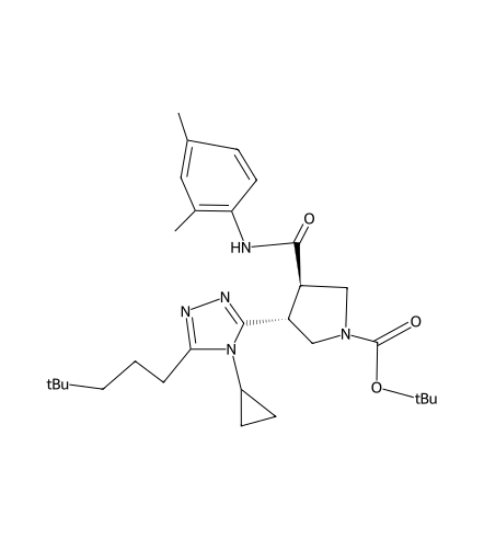 Cc1ccc(NC(=O)[C@H]2CN(C(=O)OC(C)(C)C)C[C@@H]2c2nnc(CCCC(C)(C)C)n2C2CC2)c(C)c1